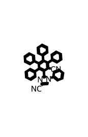 N#Cc1cn(-c2ccccc2)c(-c2c(C#N)c(-c3ccccc3)c(-c3ccccc3)c(-c3ccccc3)c2-c2ccccc2)n1